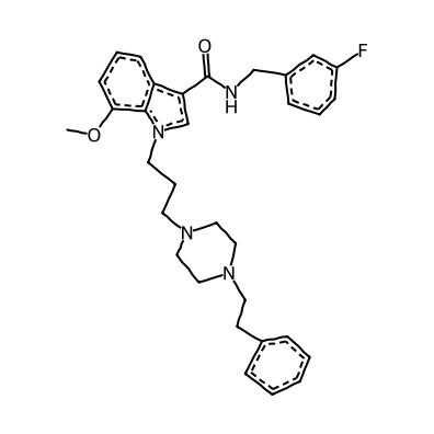 COc1cccc2c(C(=O)NCc3cccc(F)c3)cn(CCCN3CCN(CCc4ccccc4)CC3)c12